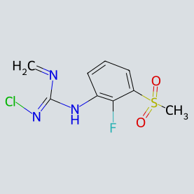 C=N/C(=N\Cl)Nc1cccc(S(C)(=O)=O)c1F